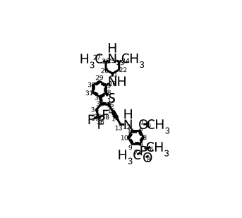 COc1cc(P(C)(C)=O)ccc1NCC#Cc1sc2c(NC3CC(C)NC(C)C3)cccc2c1CC(F)(F)F